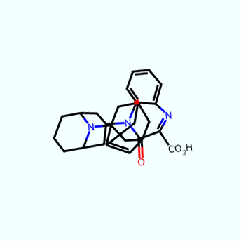 O=C(O)c1nc2ccccc2n(C2CC3CCCC(C2)N3C23CC4C=C2CC(C4)C3)c1=O